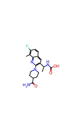 Cc1c(F)ccc2cc(C(C)NC(=O)O)c(N3CCC(C(N)=O)CC3)nc12